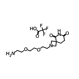 NCCOCCOCCN1CC2(CCC(=O)NC2=O)C1.O=C(O)C(F)(F)F